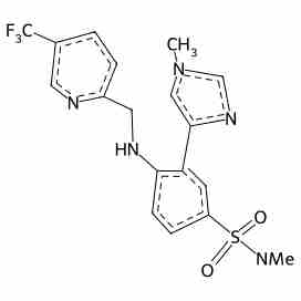 CNS(=O)(=O)c1ccc(NCc2ccc(C(F)(F)F)cn2)c(-c2cn(C)cn2)c1